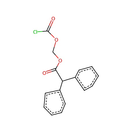 O=C(Cl)OCOC(=O)C(c1ccccc1)c1ccccc1